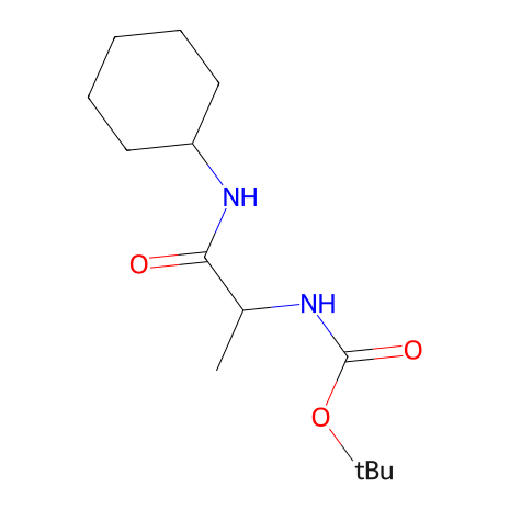 CC(NC(=O)OC(C)(C)C)C(=O)NC1CCCCC1